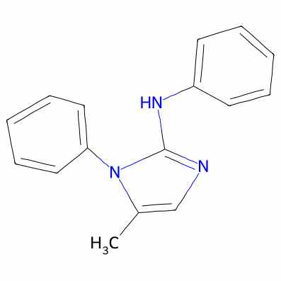 Cc1cnc(Nc2ccccc2)n1-c1ccccc1